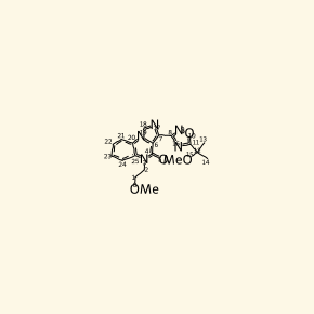 COCCn1c(=O)c2c(-c3noc(C(C)(C)OC)n3)ncn2c2ccccc21